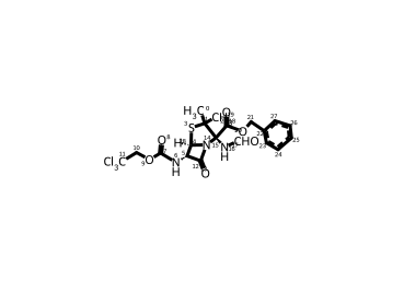 CC1(C)S[C@@H]2[C@@H](NC(=O)OCC(Cl)(Cl)Cl)C(=O)N2[C@@]1(NC=O)C(=O)OCc1ccccc1